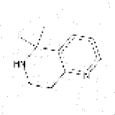 CC1(I)NCCc2ncccc21